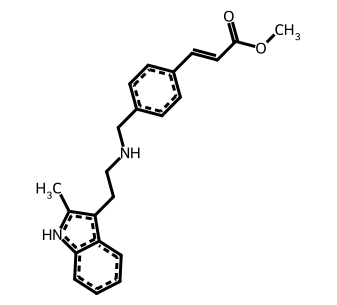 COC(=O)C=Cc1ccc(CNCCc2c(C)[nH]c3ccccc23)cc1